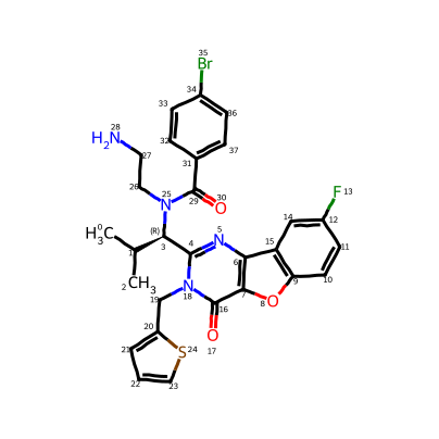 CC(C)[C@H](c1nc2c(oc3ccc(F)cc32)c(=O)n1Cc1cccs1)N(CCN)C(=O)c1ccc(Br)cc1